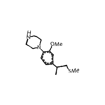 COc1cc(C(C)CSC)ccc1N1CCNCC1